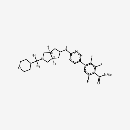 [2H]C([2H])(C1CCOCC1)N1C[C@H]2CC(Nc3ccc(-c4cc(F)c(C(=O)NC)c(F)c4F)nn3)C[C@H]2C1